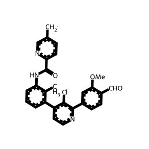 [CH2]c1ccc(C(=O)Nc2cccc(-c3ccnc(-c4ccc(C=O)c(OC)c4)c3Cl)c2C)nc1